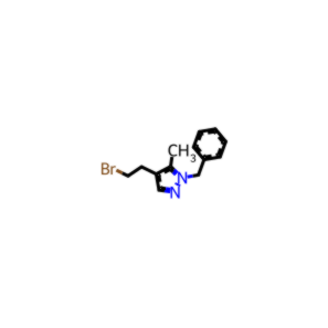 Cc1c(CCBr)cnn1Cc1ccccc1